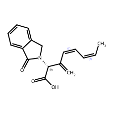 C=C(/C=C\C=C/C)[C@H](C(=O)O)N1Cc2ccccc2C1=O